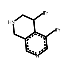 CC(C)c1cncc2c1C(C(C)C)CNC2